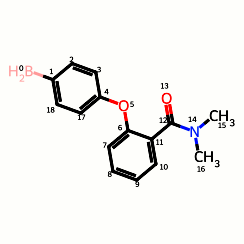 Bc1ccc(Oc2ccccc2C(=O)N(C)C)cc1